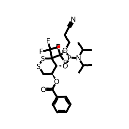 CC(C)N(C(C)C)P(OCCC#N)O[C@@H]1[C@@H](OC(=O)c2ccccc2)CSSC1(C(F)(F)F)C(F)(F)F